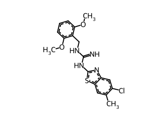 COc1cccc(OC)c1CNC(=N)Nc1nc2cc(Cl)c(C)cc2s1